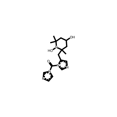 CC1(C)CC(O)CC(C)(Cc2cncn2C(=O)n2ccnc2)N1O